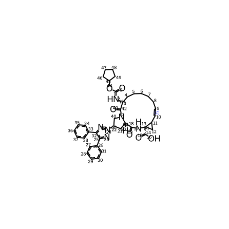 O=C(N[C@H]1CCCCC/C=C\C2C[C@@]2(C(=O)O)NC(=O)[C@@H]2C[C@@H](n3nc(-c4ccccc4)c(-c4ccccc4)n3)CN2C1=O)OC1CCCC1